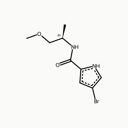 COC[C@@H](C)NC(=O)c1cc(Br)c[nH]1